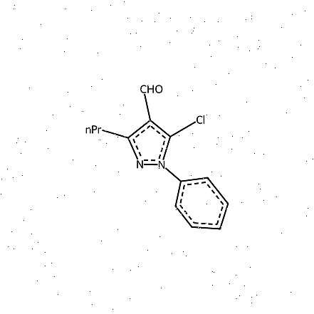 CCCc1nn(-c2ccccc2)c(Cl)c1C=O